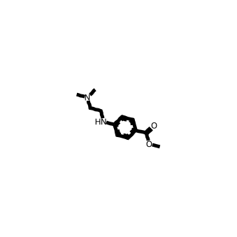 COC(=O)c1ccc(NCCN(C)C)cc1